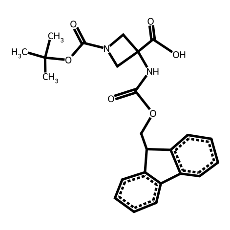 CC(C)(C)OC(=O)N1CC(NC(=O)OCC2c3ccccc3-c3ccccc32)(C(=O)O)C1